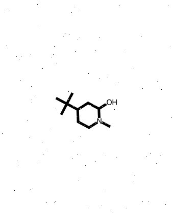 CN1CCC(C(C)(C)C)CC1O